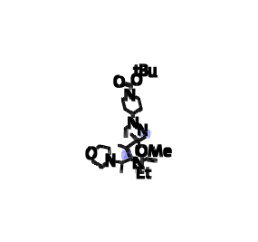 C=CN(CC)/C(=C(/C)C(C)(/C=N\N(C=C)C1CCN(C(=O)OC(C)(C)C)CC1)OC)C(C)N1CCOCC1